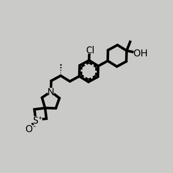 C[C@H](Cc1ccc(C2CCC(C)(O)CC2)c(Cl)c1)CN1CCC2(C1)C[S+]([O-])C2